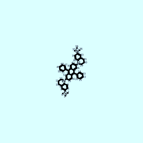 C[Si](C)(C)c1ccc2c(c1)CCCN2c1ccc2c(-c3ccccc3)c3cc(N4CCCc5cc([Si](C)(C)C)ccc54)ccc3c(-c3ccccc3)c2c1